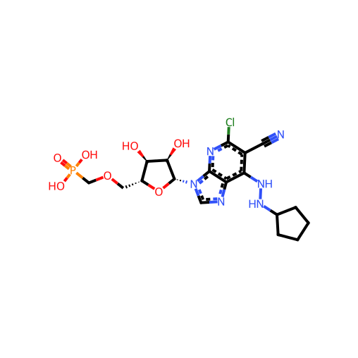 N#Cc1c(Cl)nc2c(ncn2[C@@H]2O[C@H](COCP(=O)(O)O)[C@@H](O)[C@H]2O)c1NNC1CCCC1